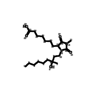 CCCCCCC(C)(O)CCN1C(=O)N(C)C(=O)C1CCCCCCC(=O)O